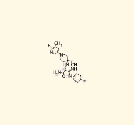 Cc1cc(N2CCC(CC#N)(N/C=C(\C(=N)Nc3ccc(F)cc3)C(N)=O)CC2)cnc1F